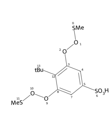 CSOOc1cc(S(=O)(=O)O)cc(OOSC)c1C(C)(C)C